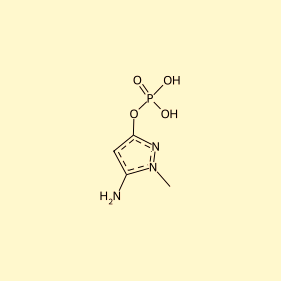 Cn1nc(OP(=O)(O)O)cc1N